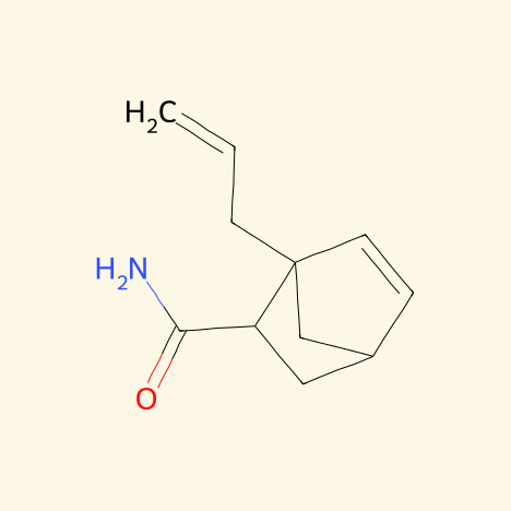 C=CCC12C=CC(CC1C(N)=O)C2